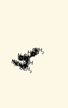 Cc1nc(Nc2nc(NCc3ccc(S(N)(=O)=O)cc3)c(C)c(N3CCOCC3)n2)sc1C(=O)OCON=[N+]=[N-]